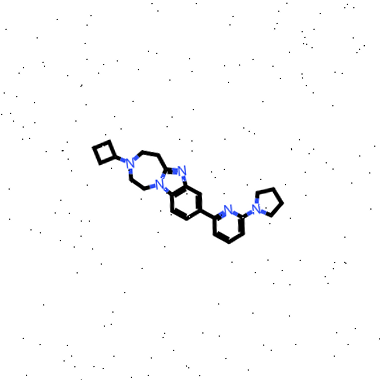 c1cc(-c2ccc3c(c2)nc2n3CCN(C3CCC3)CC2)nc(N2CCCC2)c1